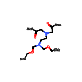 COCOCN(CCN(CC(=O)OC)CC(=O)OC)COCOC